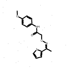 COc1ccc(NC(=O)CO/N=C(/C)c2cccs2)cc1